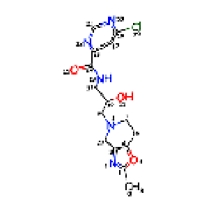 Cc1nc2c(o1)CCN(CC(O)CNC(=O)c1cc(Cl)ncn1)C2